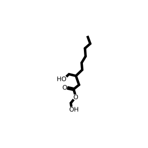 CCCCCCC(CO)CC(=O)OCO